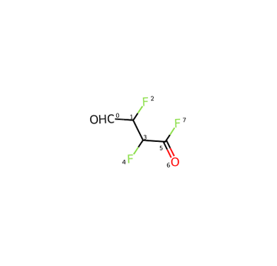 O=CC(F)C(F)C(=O)F